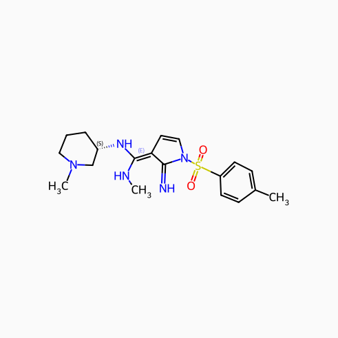 CN/C(N[C@H]1CCCN(C)C1)=C1/C=CN(S(=O)(=O)c2ccc(C)cc2)C1=N